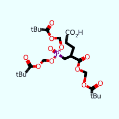 CC(C)(C)C(=O)OCOC(=O)C(CCC(=O)O)CP(=O)(OCOC(=O)C(C)(C)C)OCOC(=O)C(C)(C)C